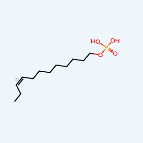 CC/C=C\CCCCCCCCOP(=O)(O)O